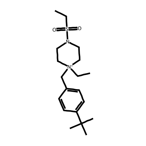 CC[N+]1(Cc2ccc(C(C)(C)C)cc2)CCN(S(=O)(=O)CC)CC1